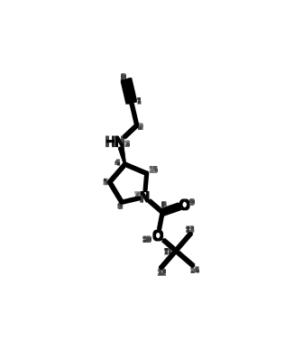 C#CCN[C@@H]1CCN(C(=O)OC(C)(C)C)C1